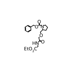 CCOC(=O)CNC(=O)COCC1CCCN1C(=O)OCc1ccccc1